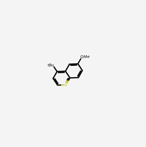 COc1ccc2[s+]ccc(C(C)(C)C)c2c1